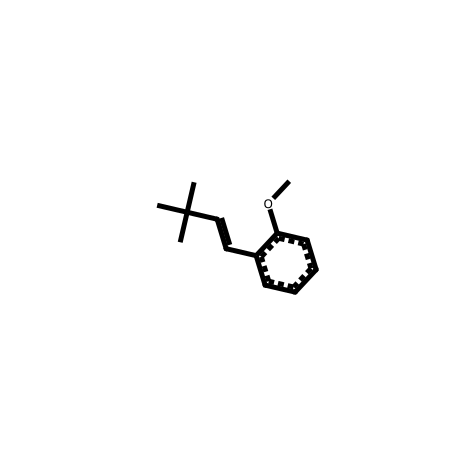 COc1ccccc1/C=C/C(C)(C)C